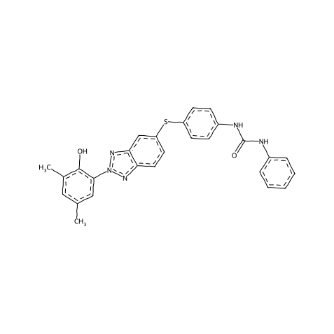 Cc1cc(C)c(O)c(-n2nc3ccc(Sc4ccc(NC(=O)Nc5ccccc5)cc4)cc3n2)c1